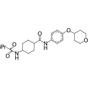 CC(C)S(=O)(=O)NC1CCC(C(=O)Nc2ccc(OC3CCOCC3)cc2)CC1